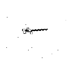 CCCCCCCCCCCC(=O)OCC(Cl)(Cl)Cl